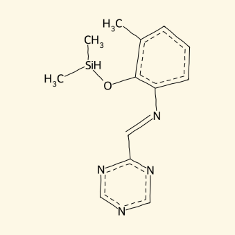 Cc1cccc(N=Cc2ncncn2)c1O[SiH](C)C